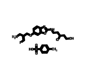 Cc1ccc(S(=O)(=O)O)cc1.NCC(=CF)COc1ccc2nc(NCCC(Cl)CCO)oc2c1